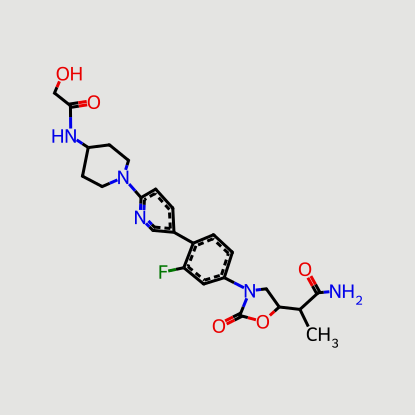 CC(C(N)=O)C1CN(c2ccc(-c3ccc(N4CCC(NC(=O)CO)CC4)nc3)c(F)c2)C(=O)O1